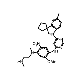 COc1cc(N(C)CCN(C)C)c([N+](=O)[O-])cc1Nc1ncnc(N2CC3(CCCC3)c3nc(C)ccc32)n1